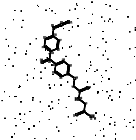 NC(=O)CNC(=O)COc1ccc(C(=O)c2ccc(N=C=O)cc2)cc1